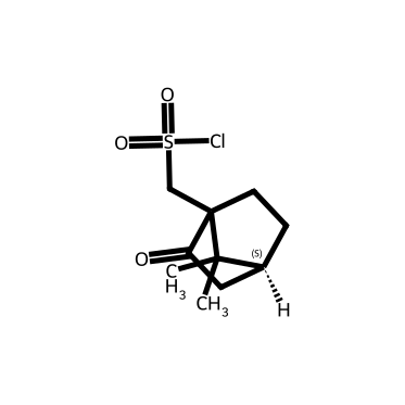 CC1(C)[C@H]2CCC1(CS(=O)(=O)Cl)C(=O)C2